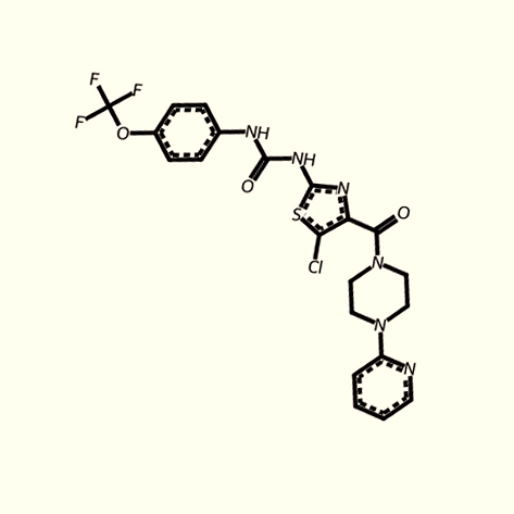 O=C(Nc1ccc(OC(F)(F)F)cc1)Nc1nc(C(=O)N2CCN(c3ccccn3)CC2)c(Cl)s1